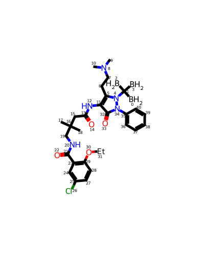 BC(B)(B)n1c(CCN(C)C)c(NC(=O)CC(C)(C)CNC(=O)c2cc(Cl)ccc2OCC)c(=O)n1-c1ccccc1